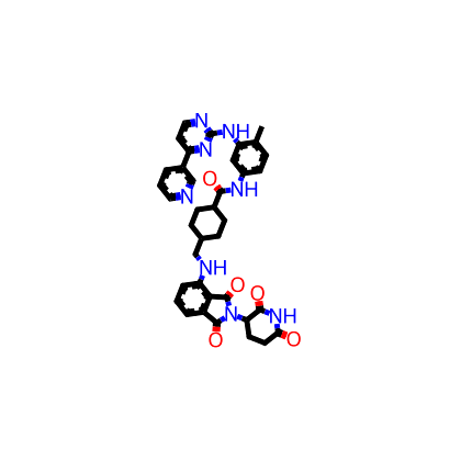 Cc1ccc(NC(=O)C2CCC(CNc3cccc4c3C(=O)N(C3CCC(=O)NC3=O)C4=O)CC2)cc1Nc1nccc(-c2cccnc2)n1